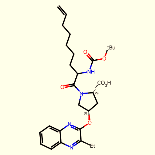 C=CCCCCCC(NC(=O)OC(C)(C)C)C(=O)N1C[C@H](Oc2nc3ccccc3nc2CC)C[C@H]1C(=O)O